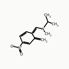 C=c1cc([N+](=O)[O-])cc/c1=C/N(C)C(C)C